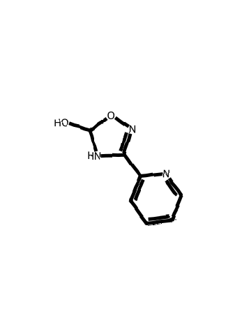 OC1NC(c2cc[c]cn2)=NO1